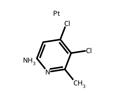 Cc1nccc(Cl)c1Cl.N.[Pt]